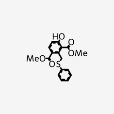 COC(=O)c1ccc(O)c(C(=O)OC)c1CSc1ccccc1